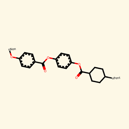 CCCCCCCCCOc1ccc(C(=O)Oc2ccc(OC(=O)C3CCC(CCCCC)CC3)cc2)cc1